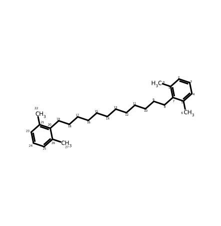 Cc1cccc(C)c1CCCCCCCCCCCCc1c(C)cccc1C